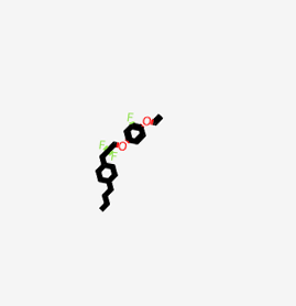 C=COc1ccc(OCC(F)(F)CC2CCC(CCCC)CC2)cc1F